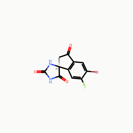 O=C1NC(=O)[C@@]2(CC(=O)c3cc(Br)c(F)cc32)N1